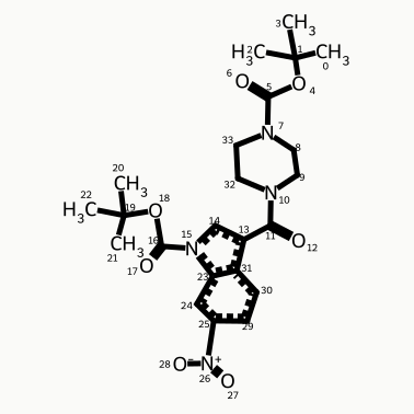 CC(C)(C)OC(=O)N1CCN(C(=O)c2cn(C(=O)OC(C)(C)C)c3cc([N+](=O)[O-])ccc23)CC1